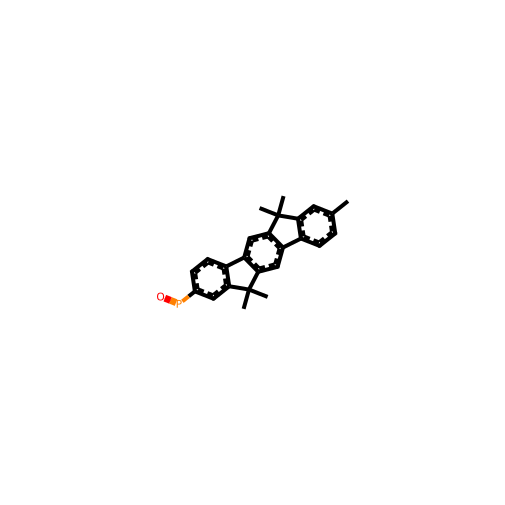 Cc1ccc2c(c1)C(C)(C)c1cc3c(cc1-2)C(C)(C)c1cc(P=O)ccc1-3